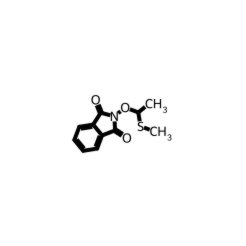 CSC(C)ON1C(=O)c2ccccc2C1=O